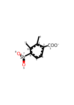 Cc1c(C(=O)[O-])cc[c]([Sb](=[O])=[O])c1C